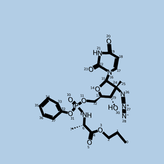 CCCOC(=O)[C@H](C)NP(=O)(OC[C@H]1OC(n2ccc(=O)[nH]c2=O)[C@](C)(N=[N+]=[N-])[C@@H]1O)Oc1ccccc1